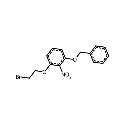 O=[N+]([O-])c1c(OCCBr)cccc1OCc1ccccc1